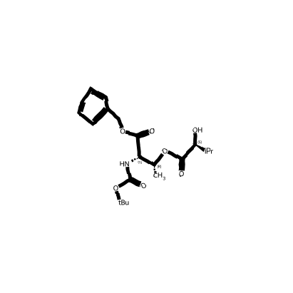 CC(C)[C@H](O)C(=O)O[C@H](C)[C@H](NC(=O)OC(C)(C)C)C(=O)OCc1ccccc1